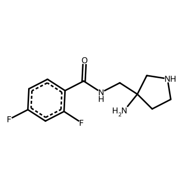 NC1(CNC(=O)c2ccc(F)cc2F)CCNC1